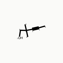 CC#CC(C)(C)[CH]O